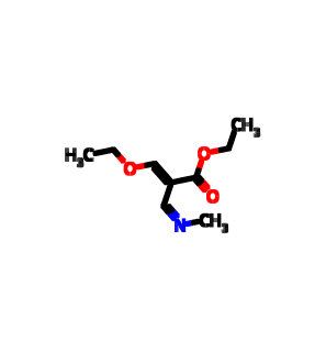 CCO/C=C(\C=N/C)C(=O)OCC